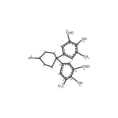 CCCC1CCC(c2cc(C)c(O)c(C=O)c2)(c2cc(C)c(O)c(C=O)c2)CC1